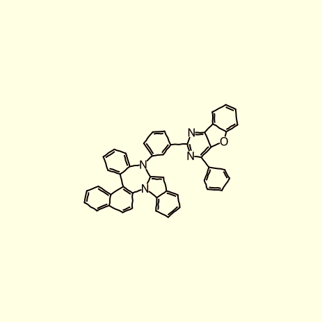 c1ccc(-c2nc(-c3cccc(N4c5ccccc5-c5c(ccc6ccccc56)-n5c4cc4ccccc45)c3)nc3c2oc2ccccc23)cc1